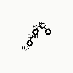 Nc1ccc(C(=O)Nc2ccc(Nc3cc(-c4ccccc4)ncn3)cc2)cc1